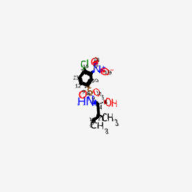 CC[C@H](C)[C@@H](CO)NS(=O)(=O)c1ccc(Cl)c([N+](=O)[O-])c1